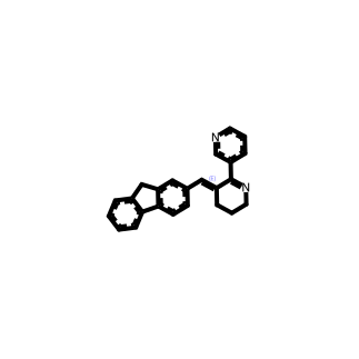 C(=C1/CCCN=C1c1cccnc1)/c1ccc2c(c1)Cc1ccccc1-2